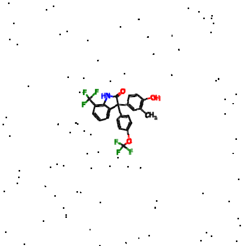 Cc1cc(C2(c3ccc(OC(F)(F)F)cc3)C(=O)Nc3c(C(F)(F)F)cccc32)ccc1O